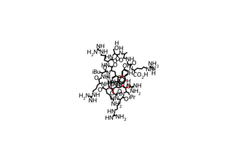 CCCCCCCCCCCCCC(=O)NC(CCCNC(=N)N)C(=O)NC(CC(C)C)C(=O)NC(Cc1ccc(O)cc1)C(=O)NC(CCCNC(=N)N)C(=O)NC(CCCCN)C(=O)NC(CCCNC(=N)N)C(=O)NC(C(=O)NC(Cc1c[nH]c2ccccc12)C(=O)NC(CCCNC(=N)N)C(=O)NC(CO)C(=O)NC(C)C(=O)NCC(=O)NC(CCCNC(=N)N)C(=O)O)C(C)CC